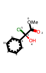 COC(=O)[C@@](O)(Cl)c1ccccc1